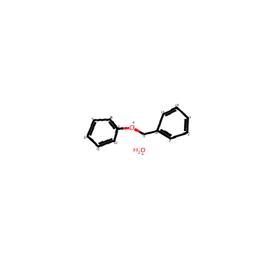 O.c1ccc(COc2ccccc2)cc1